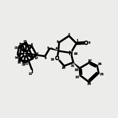 O=C1CC[C@]2(CC[C]34[CH]5[CH]6[CH]7[C]3(I)[Fe]6754389%10[CH]4[CH]3[CH]8[CH]9[CH]4%10)OC[C@@H](c3ccccc3)N12